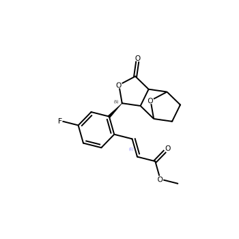 COC(=O)/C=C/c1ccc(F)cc1[C@H]1OC(=O)C2C3CCC(O3)C21